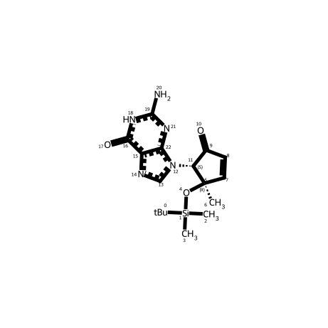 CC(C)(C)[Si](C)(C)O[C@]1(C)C=CC(=O)[C@H]1n1cnc2c(=O)[nH]c(N)nc21